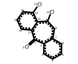 O=c1c2ccccc2cc(Cl)c2c(Cl)cccc12